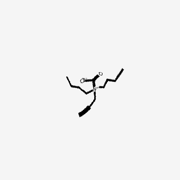 C#CC[N+](CCCC)(CCCC)C(=O)[O-]